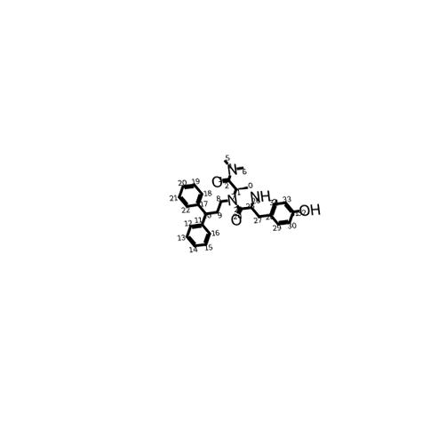 C[C@H](C(=O)N(C)C)N(CCC(c1ccccc1)c1ccccc1)C(=O)[C@@H](N)Cc1ccc(O)cc1